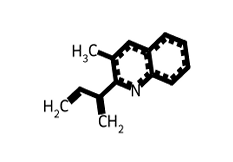 C=CC(=C)c1nc2ccccc2cc1C